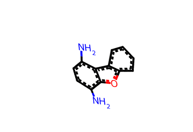 Nc1ccc(N)c2c1oc1ccccc12